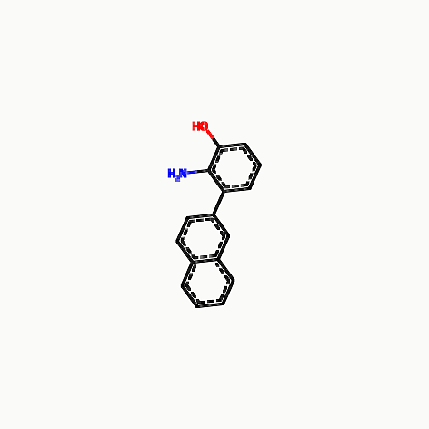 Nc1c(O)cccc1-c1ccc2ccccc2c1